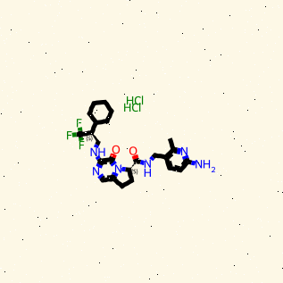 Cc1nc(N)ccc1CNC(=O)[C@@H]1CCc2cnc(NC[C@H](C3CCCCC3)C(F)(F)F)c(=O)n21.Cl.Cl